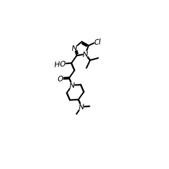 CC(C)n1c(Cl)cnc1C(O)CC(=O)N1CCC(N(C)C)CC1